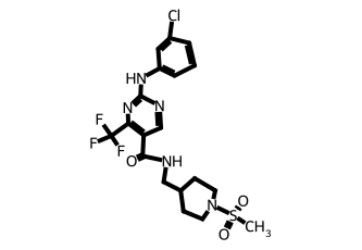 CS(=O)(=O)N1CCC(CNC(=O)c2cnc(Nc3cccc(Cl)c3)nc2C(F)(F)F)CC1